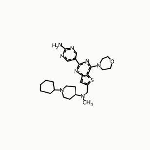 CN(Cc1cc2nc(-c3cnc(N)nc3)nc(N3CCOCC3)c2s1)C1CCN(C2CCCCC2)CC1